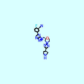 N#Cc1cc(-c2cnc3nnn(C[C@@H]4CN(c5ncc(C6=CCNCC6)cn5)CCO4)c3n2)ccc1F